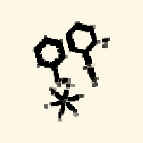 COc1ccccc1.F[P-](F)(F)(F)(F)F.[H+].[N-]=[N+]=C1C=CC=CC1